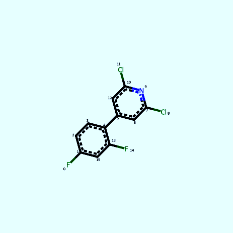 Fc1ccc(-c2cc(Cl)nc(Cl)c2)c(F)c1